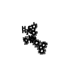 CC1(C)c2ccccc2-c2ccc(-c3nc(-c4ccccc4)nc(-c4ccc(-c5cc6ccccc6c6ccccc56)cc4)n3)cc21